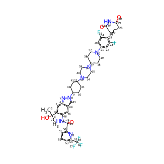 CC(C)(O)c1cc2nn(C3CCC(N4CCN(C5CCN(c6cc(F)c([C@H]7CCC(=O)NC7=O)c(F)c6)CC5)CC4)CC3)cc2cc1NC(=O)c1cccc(C(F)(F)F)n1